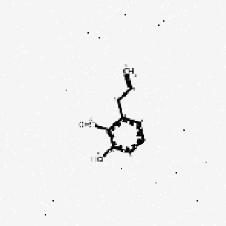 C=CCc1cccc(O)c1C=O